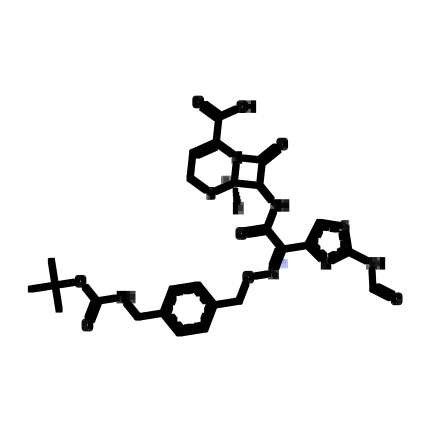 CC(C)(C)OC(=O)NCc1ccc(CO/N=C(\C(=O)NC2C(=O)N3C(C(=O)O)=CCS[C@H]23)c2csc(NC=O)n2)cc1